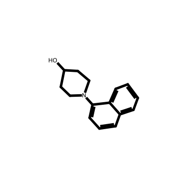 OC1CCN(c2cccc3ccccc23)CC1